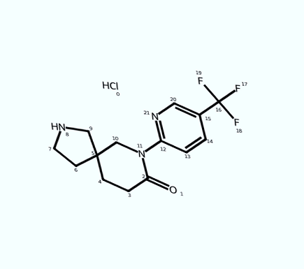 Cl.O=C1CCC2(CCNC2)CN1c1ccc(C(F)(F)F)cn1